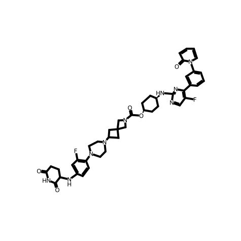 O=C1CCC(Nc2ccc(N3CCN(C4CC5(C4)CN(C(=O)O[C@H]4CC[C@H](Nc6ncc(F)c(-c7cccc(-n8ccccc8=O)c7)n6)CC4)C5)CC3)c(F)c2)C(=O)N1